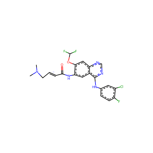 CN(C)C/C=C/C(=O)Nc1cc2c(Nc3ccc(F)c(Cl)c3)ncnc2cc1OC(F)F